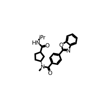 CC(C)NC(=O)C1CC[C@@H](N(C)C(=O)c2ccc(-c3nc4ccccc4o3)cc2)C1